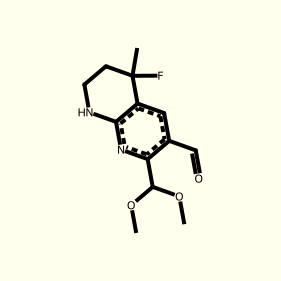 COC(OC)c1nc2c(cc1C=O)C(C)(F)CCN2